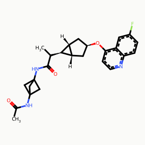 CC(=O)NC12CC(NC(=O)C(C)[C@H]3[C@@H]4C[C@@H](Oc5ccnc6ccc(F)cc56)C[C@@H]43)(C1)C2